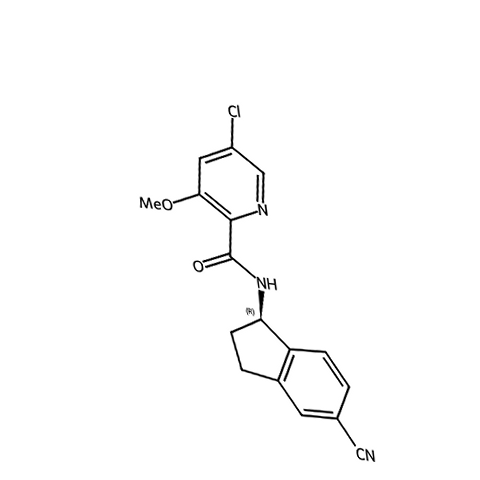 COc1cc(Cl)cnc1C(=O)N[C@@H]1CCc2cc(C#N)ccc21